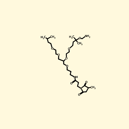 CC(C)CCOCCOCC(COCCCNC(=O)CCN1C(=O)CC(C)C1=O)OCCOCCC(C)(C)OCN